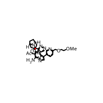 COCCOCc1ccc(-c2cnn3c(N)c(C(C)=O)c([C@H]4C[C@H]5CC[C@@H](C4)N5C(=O)c4nnc[nH]4)nc23)cn1